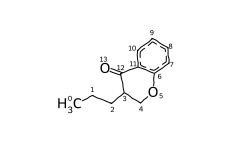 CCCC1COc2ccccc2C1=O